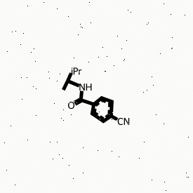 CC(C)C(C)NC(=O)c1ccc(C#N)cc1